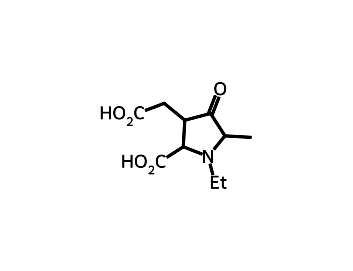 CCN1C(C)C(=O)C(CC(=O)O)C1C(=O)O